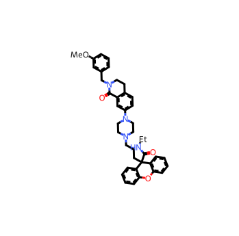 CCNC(=O)C1(CCCN2CCN(c3ccc4c(c3)C(=O)N(Cc3cccc(OC)c3)CC4)CC2)c2ccccc2Oc2ccccc21